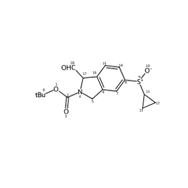 CC(C)(C)OC(=O)N1Cc2cc([S+]([O-])C3CC3)ccc2C1C=O